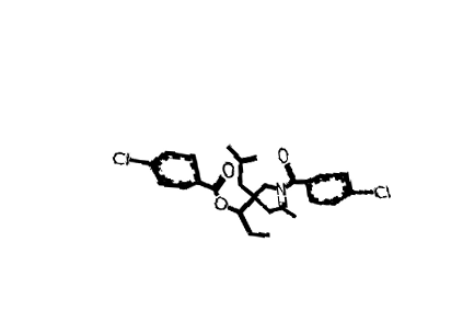 CCC(OC(=O)c1ccc(Cl)cc1)C(CNC(=O)c1ccc(Cl)cc1)(CC(C)C)CC(C)C